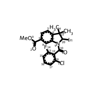 COC(=O)c1ccc2c(c1)N(C(=O)c1c(F)cccc1Cl)C(I)C2(C)C